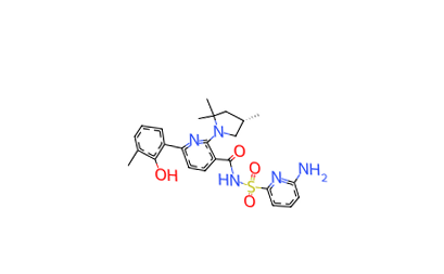 Cc1cccc(-c2ccc(C(=O)NS(=O)(=O)c3cccc(N)n3)c(N3C[C@@H](C)CC3(C)C)n2)c1O